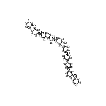 c1ccc(Oc2cccc(-[n+]3ccc(-c4cc[n+](-c5ccc(Cc6ccc(-[n+]7ccc(-c8cc[n+](-c9cccc(Oc%10ccccc%10)c9)cc8)cc7)cc6)cc5)cc4)cc3)c2)cc1